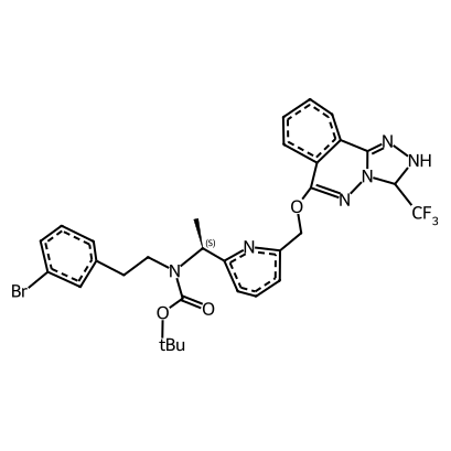 C[C@@H](c1cccc(COC2=NN3C(=NNC3C(F)(F)F)c3ccccc32)n1)N(CCc1cccc(Br)c1)C(=O)OC(C)(C)C